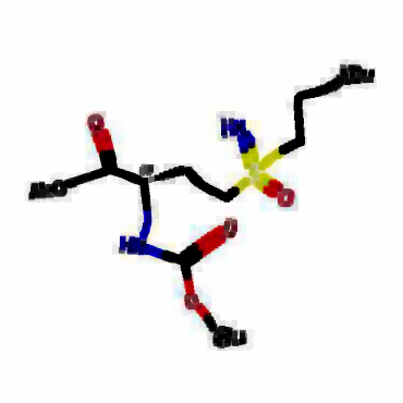 COC(=O)[C@H](CCS(=N)(=O)CCC(C)(C)C)NC(=O)OC(C)(C)C